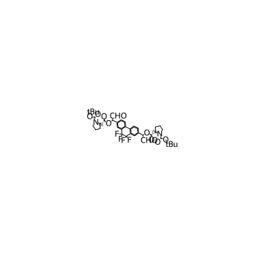 CC(C)(C)OC(=O)N1CCC[C@H]1C(=O)OC(C=O)c1ccc2c(c1)C(F)(F)C(F)(F)c1cc(C(C=O)OC(=O)[C@@H]3CCCN3C(=O)OC(C)(C)C)ccc1-2